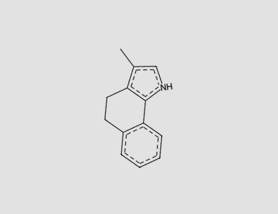 Cc1c[nH]c2c1CCc1ccccc1-2